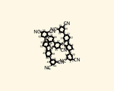 N#Cc1cc(C#N)cc(-c2ccc3c4ccc(-c5cc(C#N)cc(C#N)c5)cc4n(-c4cc(-c5ccncc5)c(-n5c6cc(-c7cc(C#N)cc(C#N)c7)ccc6c6ccc(-c7cc(C#N)cc(C#N)c7)cc65)cc4C#N)c3c2)c1